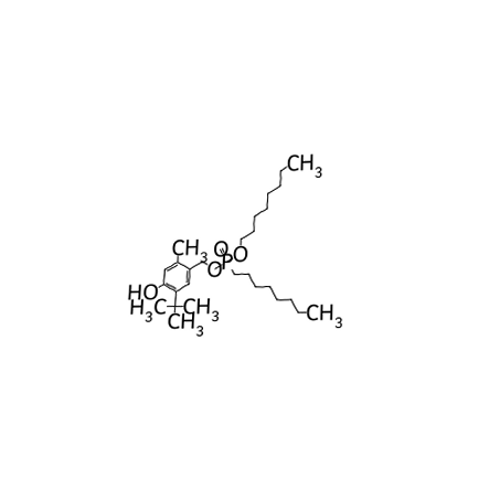 CCCCCCCCOP(=O)(CCCCCCCC)OCc1cc(C(C)(C)C)c(O)cc1C